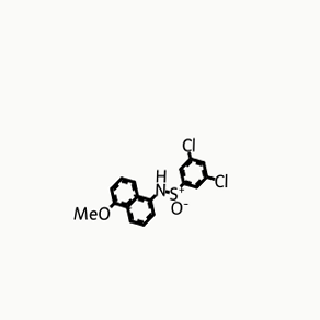 COc1cccc2c(N[S+]([O-])c3cc(Cl)cc(Cl)c3)cccc12